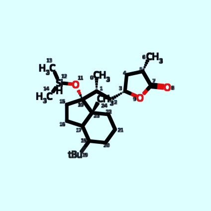 C[C@H](C[C@@H]1C[C@H](C)C(=O)O1)[C@]1(O[SiH](C)C)CCC2C(C(C)(C)C)CCC[C@]21C